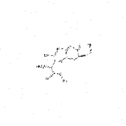 CCC(C)OC(=O)C(C(=O)O)c1nc2cc3ccccc3cc2nc1Cl